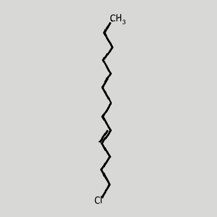 CCCCCCCC/C=C/CCCCl